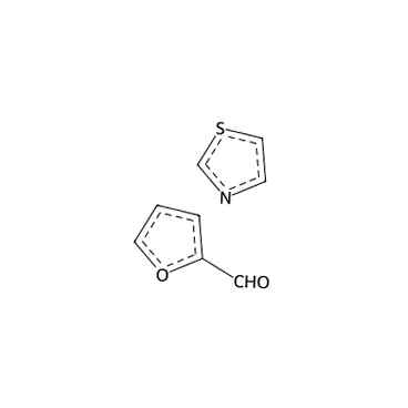 O=Cc1ccco1.c1cscn1